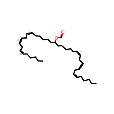 CCCCC/C=C\C/C=C\C/C=C\CCCCCC(CCCCC/C=C\C/C=C\C/C=C\CCCCC)OC=O